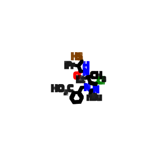 CCCCc1nc(Cl)c(C(C)(CC)NC(=O)C(CS)C(C)C)n1Cc1ccccc1C(=O)O